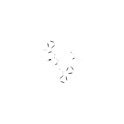 CC(C)(C)OC(=O)O.N#CC(Cc1c[nH]c2ccccc12)NC(=O)OCC1c2ccccc2-c2ccccc21